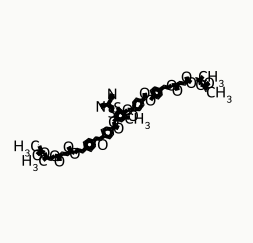 CCC(=O)OC(C)COC(=O)CCC(=O)OCCc1ccc(CC(=O)C2CCC(C(=O)Oc3cc(C)c(OC(=O)C4CCC(C(=O)Oc5ccc(CCOC(=O)CCC(=O)OCC(C)OC(=O)CC)cc5)CC4)c4c3SC(=C(C#N)C#N)S4)CC2)cc1